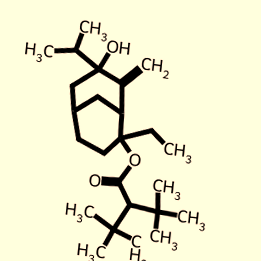 C=C1C2CC(CCC2(CC)OC(=O)C(C(C)(C)C)C(C)(C)C)CC1(O)C(C)C